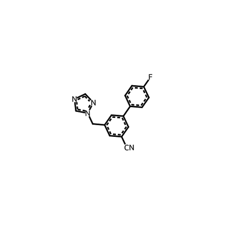 N#Cc1cc(Cn2cncn2)cc(-c2ccc(F)cc2)c1